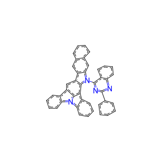 c1ccc(-c2nc(-n3c4cc5ccccc5cc4c4cc5c6ccccc6n6c7ccccc7c(c43)c56)c3ccccc3n2)cc1